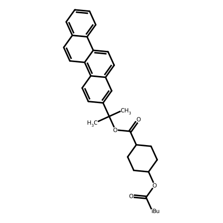 CCC(C)C(=O)OC1CCC(C(=O)OC(C)(C)c2ccc3c(ccc4c5ccccc5ccc34)c2)CC1